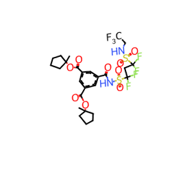 CC1(OC(=O)c2cc(C(=O)NS(=O)(=O)C(F)(F)CC(F)(F)S(=O)(=O)NCC(F)(F)F)cc(C(=O)OC3(C)CCCC3)c2)CCCC1